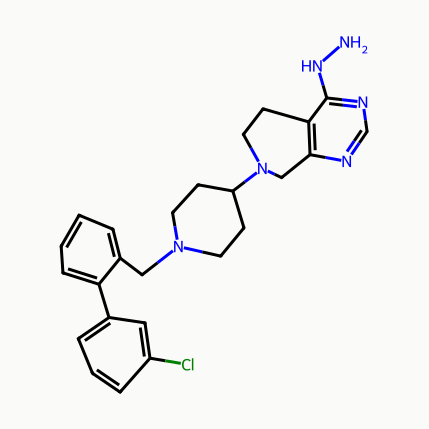 NNc1ncnc2c1CCN(C1CCN(Cc3ccccc3-c3cccc(Cl)c3)CC1)C2